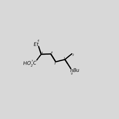 CCCCC(C)CCC(CC)C(=O)O